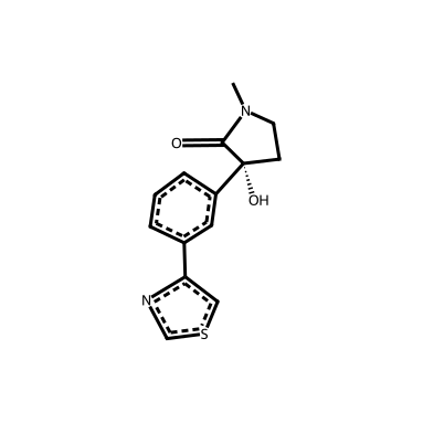 CN1CC[C@@](O)(c2cccc(-c3cscn3)c2)C1=O